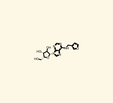 OC[C@H]1O[C@@H](n2cnc3c(NCc4ccoc4)ncnc32)C(O)[C@H]1O